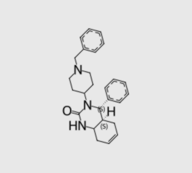 O=C1NC2CC=CC[C@@H]2[C@@H](c2ccccc2)N1C1CCN(Cc2ccccc2)CC1